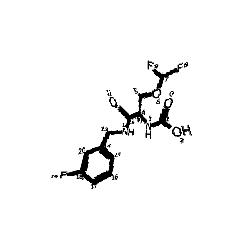 O=C(O)N[C@H](COC(F)F)C(=O)NCc1cccc(F)c1